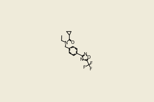 CCN(Cc1ccc(-c2noc(C(F)(F)F)n2)cc1)C(=O)C1CC1